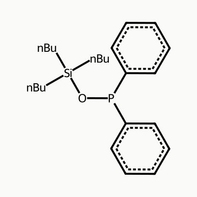 CCCC[Si](CCCC)(CCCC)OP(c1ccccc1)c1ccccc1